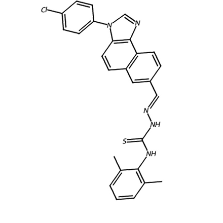 Cc1cccc(C)c1NC(=S)NN=Cc1ccc2c(ccc3c2ncn3-c2ccc(Cl)cc2)c1